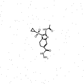 CC(=O)Nc1nc2c(n1S(=O)(=O)C1CC1)CCC(C(=O)NN)=C2